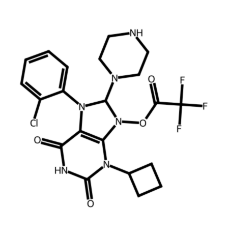 O=C(ON1c2c(c(=O)[nH]c(=O)n2C2CCC2)N(c2ccccc2Cl)C1N1CCNCC1)C(F)(F)F